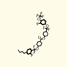 CCCCc1ccc(C(F)(F)OC2CCC(C(=O)OC3CCC(C(F)(F)Oc4ccc(OC(F)(F)F)c(F)c4)CC3)CC2)c(F)c1